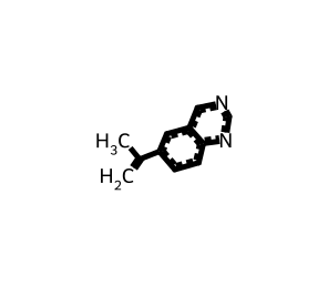 C=C(C)c1ccc2ncncc2c1